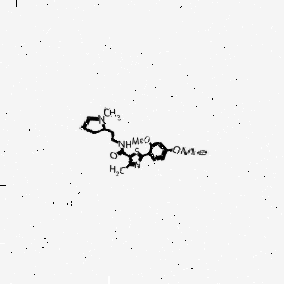 COc1ccc(-c2nc(C)c(C(=O)NCCC3CCCN3C)s2)c(OC)c1